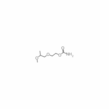 COC(C)COCCOC(N)=O